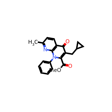 COC(=O)c1c(CC2CC2)c(=O)c2ccc(C)nc2n1-c1ccccc1